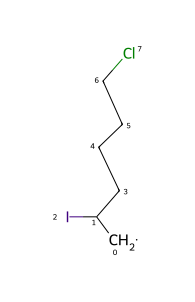 [CH2]C(I)CCCCCl